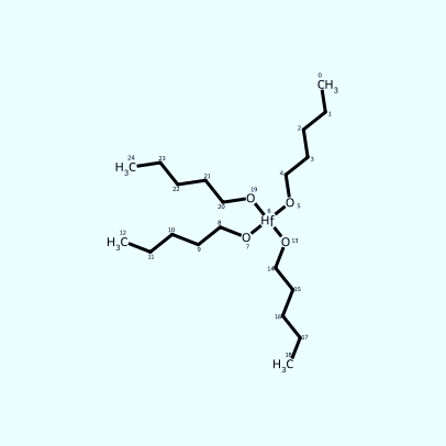 CCCCC[O][Hf]([O]CCCCC)([O]CCCCC)[O]CCCCC